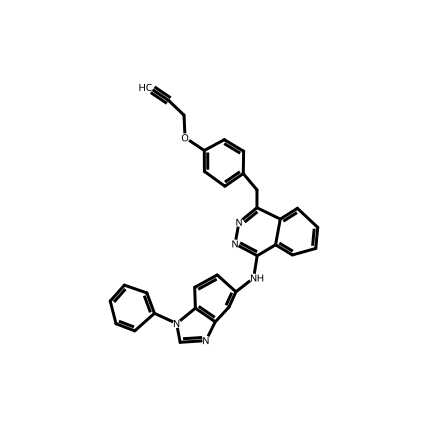 C#CCOc1ccc(Cc2nnc(Nc3ccc4c(c3)ncn4-c3ccccc3)c3ccccc23)cc1